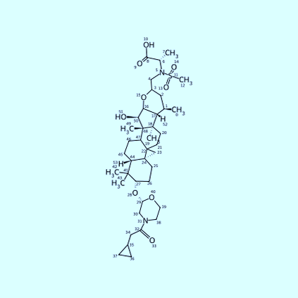 C[C@@H]1CC(CN([C@@H](C)C(=O)O)S(C)(=O)=O)OC2[C@H]1[C@@]1(C)CCC34C[C@@]35CC[C@H](O[C@H]3CN(C(=O)CC6CC6)CCO3)C(C)(C)[C@@H]5CCC4[C@]1(C)[C@H]2O